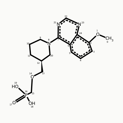 COc1cccc2c(N3CCC[C@H](COCP(=O)(O)O)C3)ncnc12